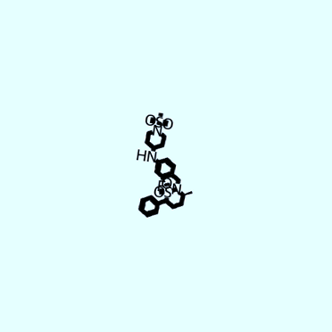 C[C@H]1CCC(c2ccccc2)S(=O)(=O)N1Cc1ccc(NC2CCN(S(C)(=O)=O)CC2)cc1F